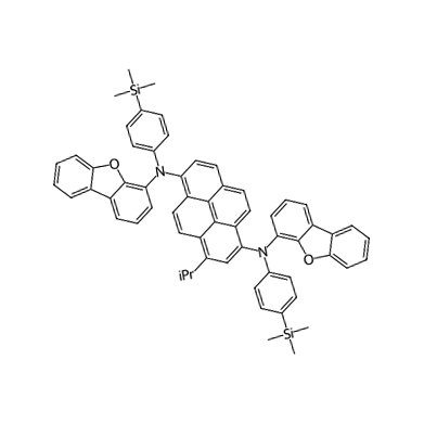 CC(C)c1cc(N(c2ccc([Si](C)(C)C)cc2)c2cccc3c2oc2ccccc23)c2ccc3ccc(N(c4ccc([Si](C)(C)C)cc4)c4cccc5c4oc4ccccc45)c4ccc1c2c34